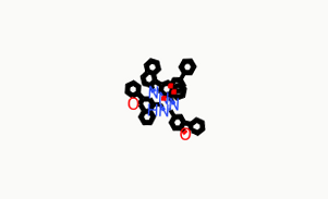 c1ccc(-c2ccc(C3=NC(c4c(-n5c6cc7ccccc7cc6c6c7ccccc7ccc65)c5c6ccccc6oc5c5ccccc45)NC(c4ccc5oc6ccccc6c5c4)=N3)cc2)cc1